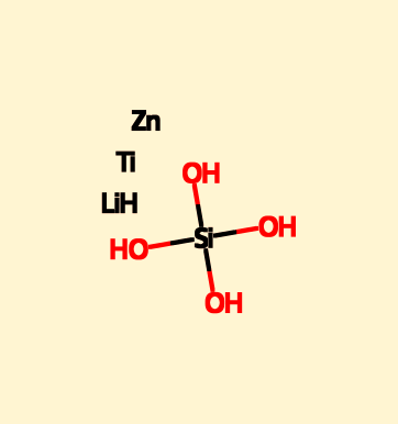 O[Si](O)(O)O.[LiH].[Ti].[Zn]